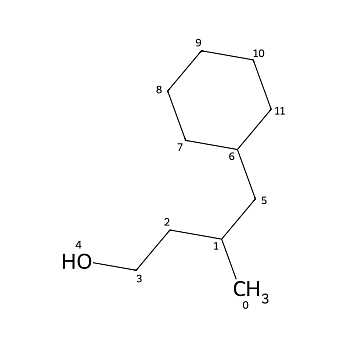 CC(CCO)CC1CCCCC1